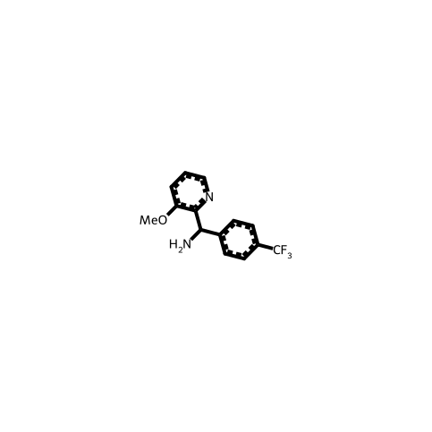 COc1cccnc1C(N)c1ccc(C(F)(F)F)cc1